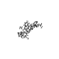 C/C(=C\C=C/C(=N)CN1CCc2c(-c3ccccc3C)cc(C(N)=O)nc2C1)C(F)(F)F